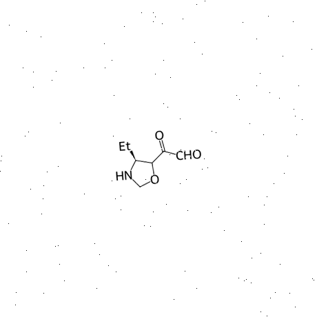 CC[C@@H]1NCOC1C(=O)C=O